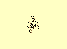 c1ccc(-c2nc(-n3c4ccccc4c4ccc5c6oc7ccccc7c6n6c7ccccc7nc6c5c43)nc3ccccc23)cc1